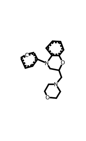 c1ccc(N2CC(CN3CCOCC3)Oc3ccccc32)cc1